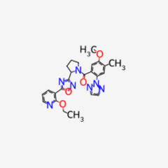 CCOc1ncccc1-c1nc(C2CCCN2C(=O)c2cc(OC)c(C)cc2-n2nccn2)no1